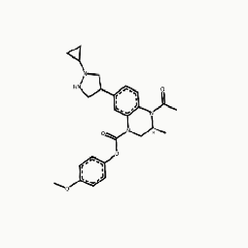 COc1ccc(OC(=O)N2C[C@H](C)N(C(C)=O)c3ccc(C4CNN(C5CC5)C4)cc32)cc1